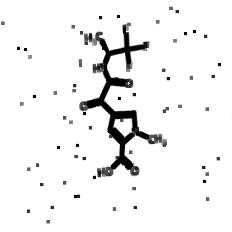 C[C@H](NC(=O)C(=O)c1cc(C(=O)O)n(C)c1)C(F)(F)F